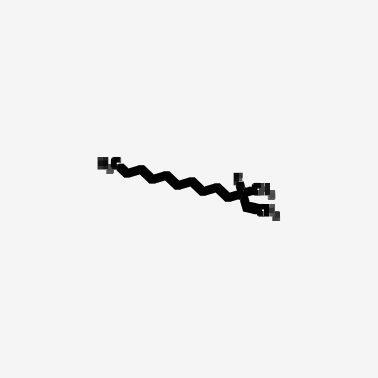 C=CS(C)(F)CCCCCCCCCC